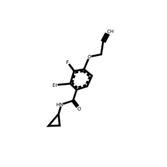 C#CCOc1ccc(C(=O)NC2CC2)c(CC)c1F